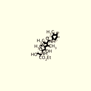 CCOC(=O)[C@H](CO)NC(=O)C(O)c1c(C)c(C(=O)Nc2ccc(F)c(C)c2)c(C)n1C